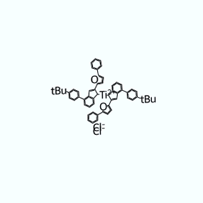 CC(C)(C)c1ccc(-c2cccc3c2C=C(c2ccc(-c4ccccc4)o2)[CH]3[Ti+2][CH]2C(c3ccc(-c4ccccc4)o3)=Cc3c(-c4ccc(C(C)(C)C)cc4)cccc32)cc1.[Cl-].[Cl-]